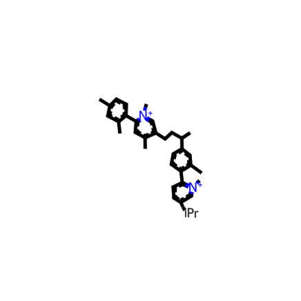 Cc1ccc(-c2cc(C)c(CCC(C)c3ccc(-c4ccc(C(C)C)c[n+]4C)c(C)c3)c[n+]2C)c(C)c1